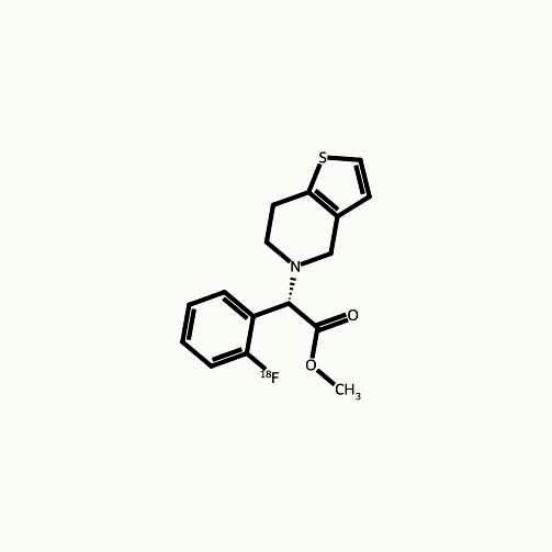 COC(=O)[C@H](c1ccccc1[18F])N1CCc2sccc2C1